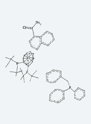 CC(C)(C)P(C(C)(C)C)[C]12[CH]3[CH]4[CH]5[C]1(P(C(C)(C)C)C(C)(C)C)[Fe]43521678[CH]2[CH]1[CH]6[CH]7[CH]28.O=C(P)c1cccc2ccccc12.c1ccc(CP(c2ccccc2)c2ccccc2)cc1